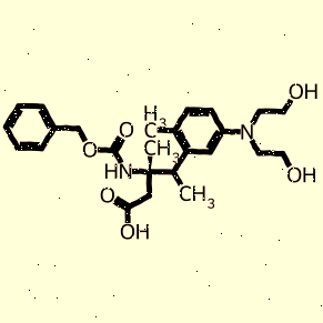 Cc1ccc(N(CCO)CCO)cc1C(C)[C@](C)(CC(=O)O)NC(=O)OCc1ccccc1